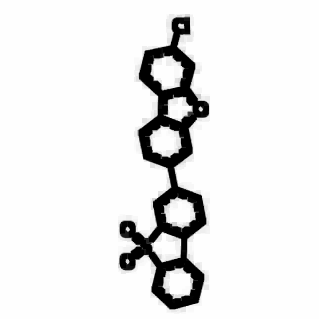 O=S1(=O)c2ccccc2-c2ccc(-c3ccc4c(c3)oc3cc(Cl)ccc34)cc21